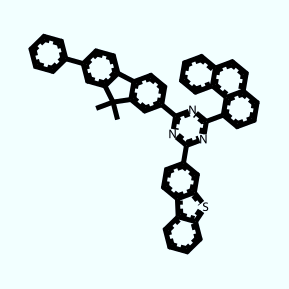 CC1(C)c2cc(-c3ccccc3)ccc2-c2ccc(-c3nc(-c4ccc5c(c4)sc4ccccc45)nc(-c4cccc5ccc6ccccc6c45)n3)cc21